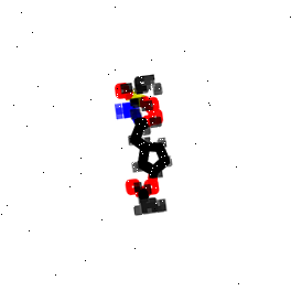 CC(C)(C)C(=O)OC1CCC(CC(=O)NS(=O)(=O)C(F)(F)F)C1